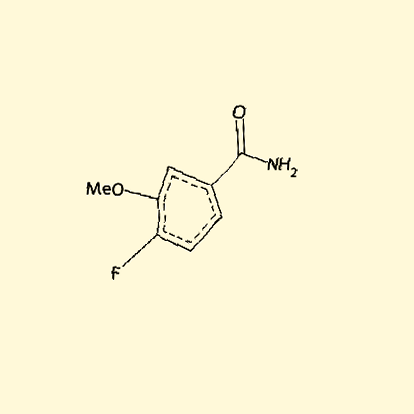 COc1cc(C(N)=O)ccc1F